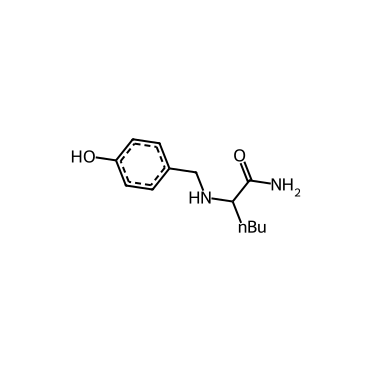 CCCCC(NCc1ccc(O)cc1)C(N)=O